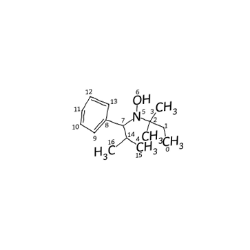 CCC(C)(C)N(O)C(c1ccccc1)C(C)C